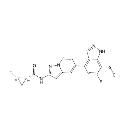 CSc1c(F)cc(-c2ccn3nc(NC(=O)[C@@H]4C[C@@H]4F)cc3c2)c2cn[nH]c12